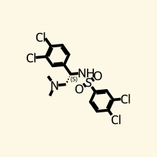 CN(C)C[C@@H](NS(=O)(=O)c1ccc(Cl)c(Cl)c1)c1ccc(Cl)c(Cl)c1